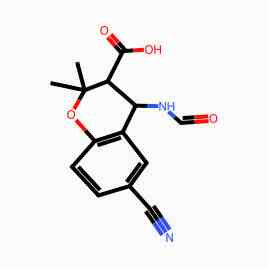 CC1(C)Oc2ccc(C#N)cc2C(NC=O)C1C(=O)O